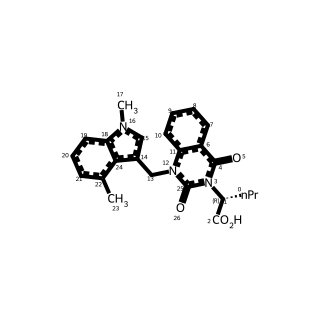 CCC[C@H](C(=O)O)n1c(=O)c2ccccc2n(Cc2cn(C)c3cccc(C)c23)c1=O